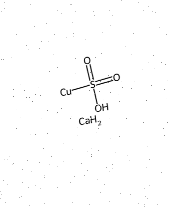 O=[S](=O)(O)[Cu].[CaH2]